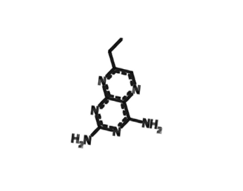 CCc1cnc2c(N)nc(N)nc2n1